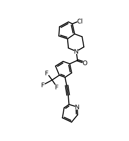 O=C(c1ccc(C(F)(F)F)c(C#Cc2ccccn2)c1)N1CCc2c(Cl)cccc2C1